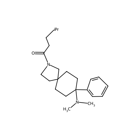 CC(C)CCC(=O)N1CCC2(CCC(c3ccccc3)(N(C)C)CC2)C1